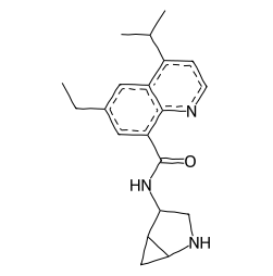 CCc1cc(C(=O)NC2CNC3CC32)c2nccc(C(C)C)c2c1